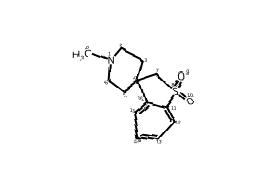 CN1CCC2(CC1)CS(=O)(=O)c1ccccc12